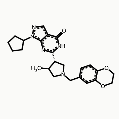 C[C@@H]1CN(Cc2ccc3c(c2)OCCO3)C[C@H]1c1nc2c(cnn2C2CCCC2)c(=O)[nH]1